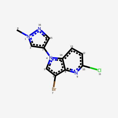 Cn1cc(-n2cc(Br)c3nc(Cl)ccc32)cn1